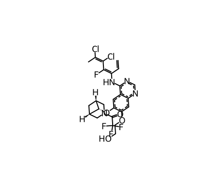 C=C/C(Nc1ncnc2cc(OCCO)c(O[C@H]3[C@@H]4C[C@H]3CN(C(=O)C(F)(F)F)C4)cc12)=C(F)\C(Cl)=C(/C)Cl